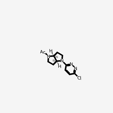 CC(=O)N1CC[C@H]2[C@@H]1CCN2c1ccc(Cl)nn1